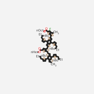 CCCCCCCCOC(=O)c1sc2c(-c3cc4c(-c5ccc(CC(CC)CCCC)s5)c5sc(-c6sc(-c7cc8c(-c9ccc(CC(CC)CCCC)s9)c9sc(C)cc9c(-c9ccc(CC(CC)CCCC)s9)c8s7)c7sc(C(=O)OCCCCCC)cc67)cc5c(-c5ccc(CC(CC)CCCC)s5)c4s3)sc(C)c2c1F